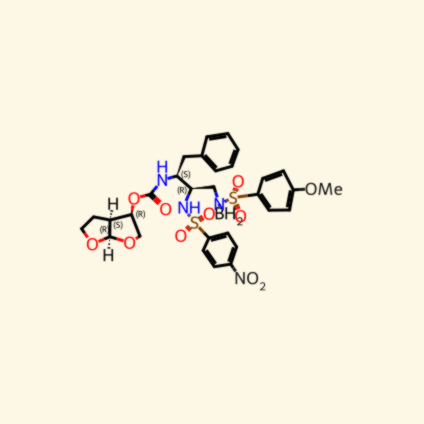 BN(C[C@@H](NS(=O)(=O)c1ccc([N+](=O)[O-])cc1)[C@H](Cc1ccccc1)NC(=O)O[C@H]1CO[C@H]2OCC[C@H]21)S(=O)(=O)c1ccc(OC)cc1